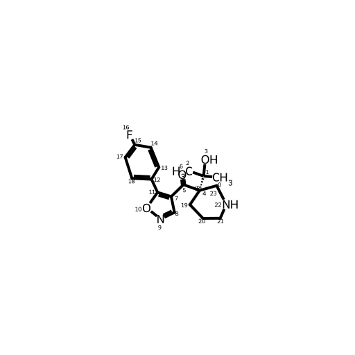 CC(C)(O)[C@@]1(C(=O)c2cnoc2-c2ccc(F)cc2)CCCNC1